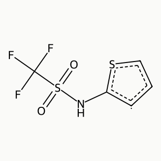 O=S(=O)(Nc1[c]ccs1)C(F)(F)F